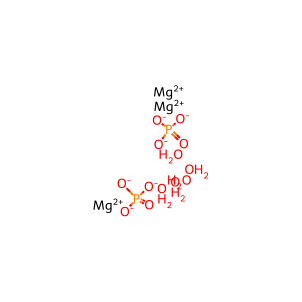 O.O.O.O.O.O=P([O-])([O-])[O-].O=P([O-])([O-])[O-].[Mg+2].[Mg+2].[Mg+2]